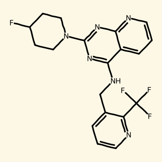 FC1CCN(c2nc(NCc3cccnc3C(F)(F)F)c3cccnc3n2)CC1